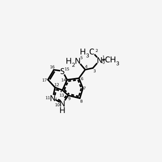 CN(C)CC(N)c1ccc2[nH]nc3c2c1SC=C3